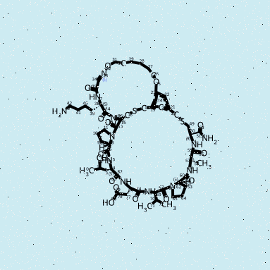 CC(C)C[C@@H]1NC(=O)[C@@H]2CCCN2C(=O)[C@@H]2CSCc3cc(cc(c3)OCCCCCCO/N=C/C(=O)N[C@@H](CCCCN)C(=O)N2)CSC[C@@H](C(N)=O)NC(=O)[C@H](C)NC(=O)[C@@H]2CCCN2C(=O)C(C(C)C)NC(=O)[C@H](CC(=O)O)NC1=O